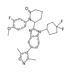 COc1ccc(N2C(=O)CCCC2c2nc3cc(-c4c(C)noc4C)ccc3n2C2CCC(F)(F)CC2)cc1F